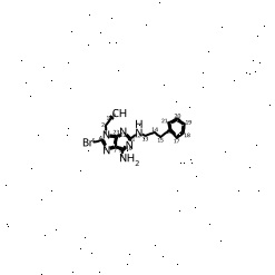 C#CCn1c(Br)nc2c(N)nc(NCCCc3ccccc3)nc21